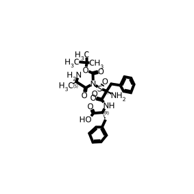 C[C@H](N)C(=O)N(C(=O)OC(C)(C)C)S(=O)(=O)[C@](N)(Cc1ccccc1)C(=O)N[C@H](Cc1ccccc1)C(=O)O